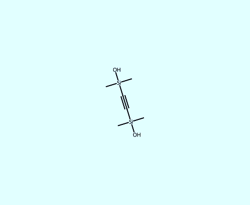 C[Si](C)(O)C#C[Si](C)(C)O